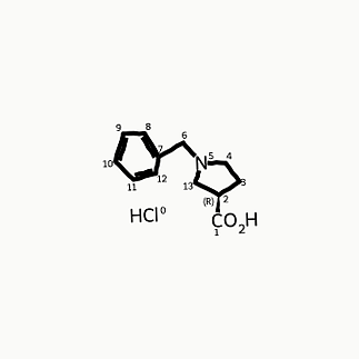 Cl.O=C(O)[C@@H]1CCN(Cc2ccccc2)C1